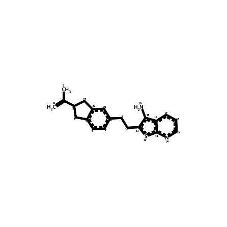 C=C(C)C1Cc2ccc(CCc3sc4ncccc4c3N)cc2C1